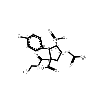 CCOC(=O)[C@]1(C(C)=O)C[C@@H](CC(C)=O)[C@@H]([N+](=O)[O-])[C@@H]1c1ccc(Cl)cc1